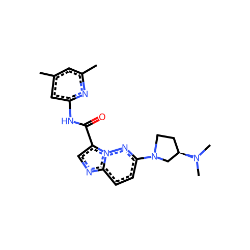 Cc1cc(C)nc(NC(=O)c2cnc3ccc(N4CC[C@@H](N(C)C)C4)nn23)c1